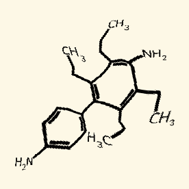 CCc1c(N)c(CC)c(CC)c(-c2ccc(N)cc2)c1CC